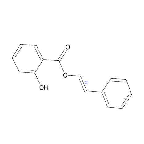 O=C(O/C=C/c1ccccc1)c1ccccc1O